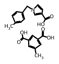 Cc1cc(C(=O)O)cc(C(=O)O)c1.Cc1ccc(Cn2ccc(C(=O)O)c2)cc1